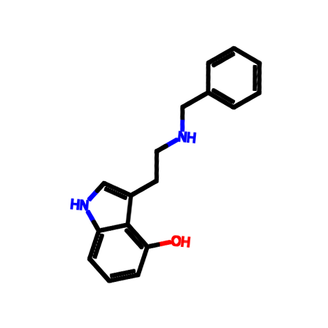 Oc1cccc2[nH]cc(CCNCc3ccccc3)c12